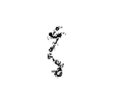 Cc1ccc2c(c1)C(C)(C)/C(=C\C=C\C1N(CCCOc3ccc(O)cc3)c3ccccc3C1(C)C)N2CCCCCC(=O)NCCNC(=O)c1cccc(OCC(N=[N+]=[N-])OCCOCC(=O)NCC#Cc2cn(C3CC(OCN=[N+]=[N-])C(COP(=O)(O)OP(=O)(O)OP(=O)(O)O)O3)c(=O)[nH]c2=O)c1